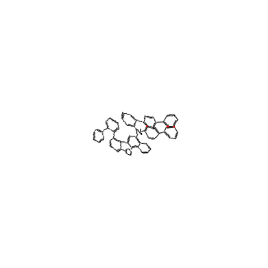 c1ccc(-c2ccc(-c3ccccc3N(c3ccc(-c4ccccc4)cc3)c3cc4c(oc5cccc(-c6ccccc6-c6ccccc6)c54)c4ccccc34)cc2)cc1